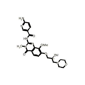 COc1c(OC[C@@H](O)CN2CCOCC2)ccc2c(=O)n(C)c(NC(=O)c3ccc(N)nc3)nc12